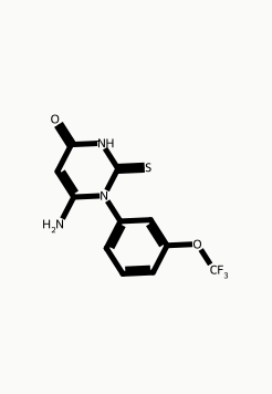 Nc1cc(=O)[nH]c(=S)n1-c1cccc(OC(F)(F)F)c1